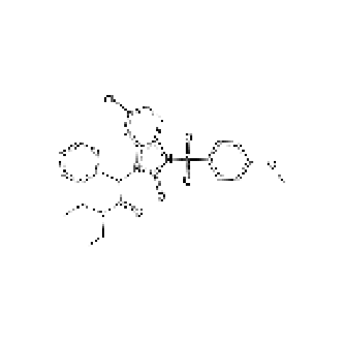 CCN(CC)C(=O)C(c1ccccc1)n1c(=O)n(S(=O)(=O)c2ccc(OC)cc2)c2ccc(Cl)cc21